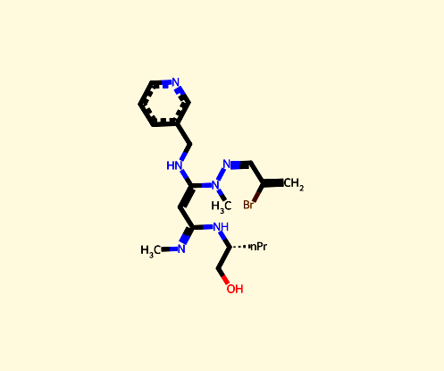 C=C(Br)/C=N\N(C)/C(=C\C(=N/C)N[C@@H](CO)CCC)NCc1cccnc1